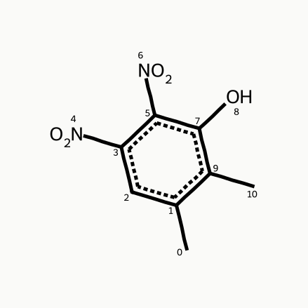 Cc1cc([N+](=O)[O-])c([N+](=O)[O-])c(O)c1C